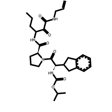 C=CCNC(=O)C(=O)C(CCC)NC(=O)[C@@H]1CCCN1C(=O)[C@@H](NC(=O)OC(C)C)C1Cc2ccccc2C1